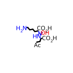 CC(=O)CCC(NN(O)C(CCCCN)C(=O)O)C(=O)O